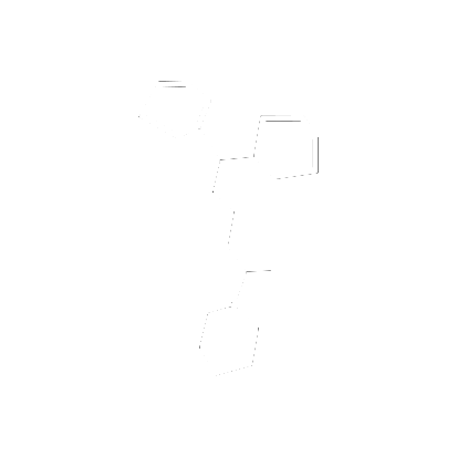 OC(CCCC(c1ccccc1)c1ccccc1)N1CCCCC1